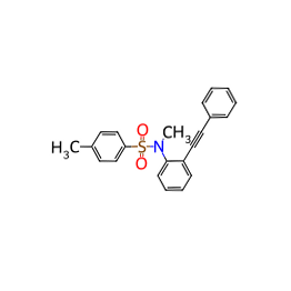 Cc1ccc(S(=O)(=O)N(C)c2ccccc2C#Cc2ccccc2)cc1